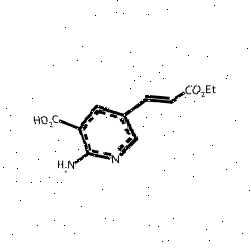 CCOC(=O)/C=C/c1cnc(N)c(C(=O)O)c1